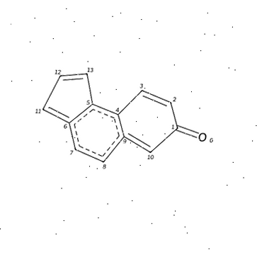 O=C1C=Cc2c3c(ccc2=C1)=CC=C3